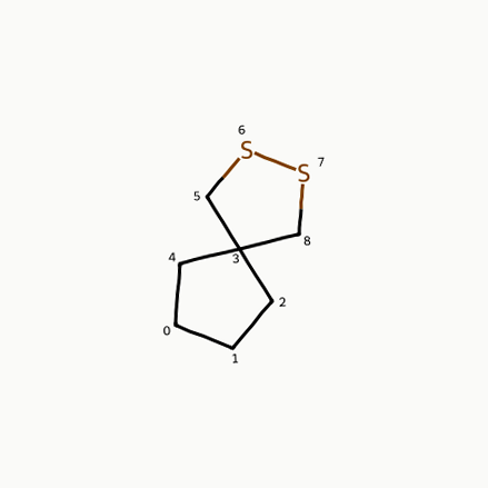 C1CCC2(C1)CSSC2